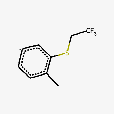 Cc1cc[c]cc1SCC(F)(F)F